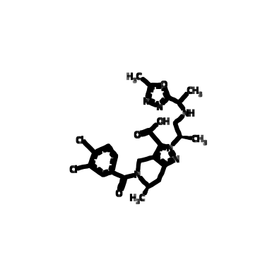 Cc1nnc(C(C)NC[C@@H](C)n2nc3c(c2C(=O)O)CN(C(=O)c2ccc(Cl)c(Cl)c2)[C@H](C)C3)o1